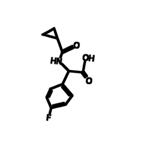 O=C(NC(C(=O)O)c1ccc(F)cc1)C1CC1